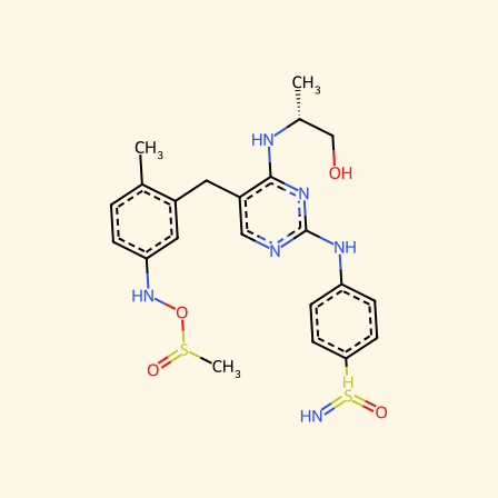 Cc1ccc(NOS(C)=O)cc1Cc1cnc(Nc2ccc([SH](=N)=O)cc2)nc1N[C@H](C)CO